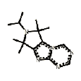 CC(C)N1C(C)(C)c2nc3ncncn3c2C1(C)C